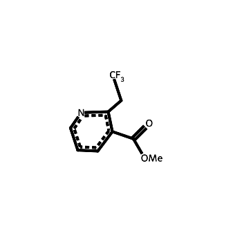 COC(=O)c1cccnc1CC(F)(F)F